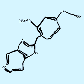 CCCCSc1ccc(-c2nc3cnccc3[nH]2)c(OC)c1